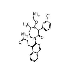 CC1CCN(c2ccc3ccccc3c2CCC(N)=O)C(=O)C(c2cccc(Cl)c2)N1OCN